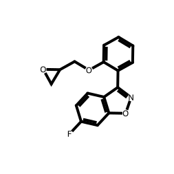 Fc1ccc2c(-c3ccccc3OCC3CO3)noc2c1